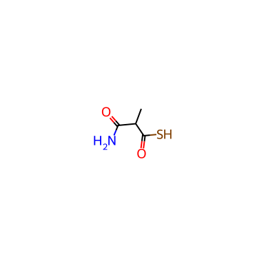 CC(C(N)=O)C(=O)S